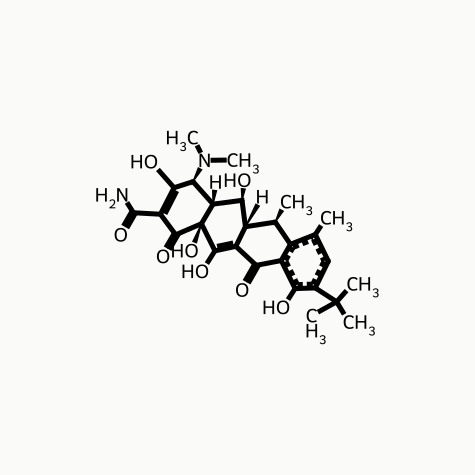 Cc1cc(C(C)(C)C)c(O)c2c1[C@H](C)[C@@H]1C(=C(O)[C@]3(O)C(=O)C(C(N)=O)=C(O)[C@@H](N(C)C)[C@@H]3[C@H]1O)C2=O